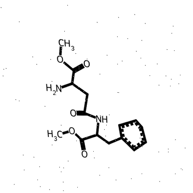 COC(=O)C(N)CC(=O)NC(Cc1ccccc1)C(=O)OC